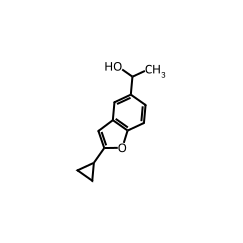 CC(O)c1ccc2oc(C3CC3)cc2c1